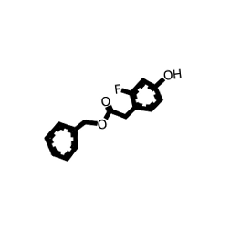 O=C(Cc1ccc(O)cc1F)OCc1ccccc1